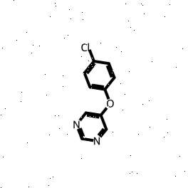 Clc1ccc(Oc2cncnc2)cc1